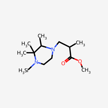 COC(=O)C(C)CN1CCN([SiH3])C(C)(C)C1C